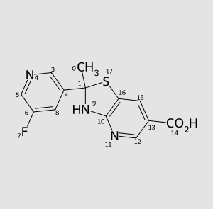 CC1(c2cncc(F)c2)Nc2ncc(C(=O)O)cc2S1